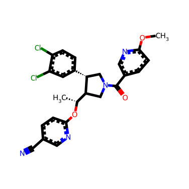 COc1ccc(C(=O)N2CC([C@@H](C)Oc3ccc(C#N)cn3)[C@H](c3ccc(Cl)c(Cl)c3)C2)cn1